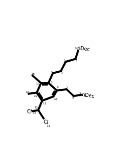 CCCCCCCCCCCCCCc1c(CCCCCCCCCCCC)cc([C](Cl)Cl)c(C)c1C